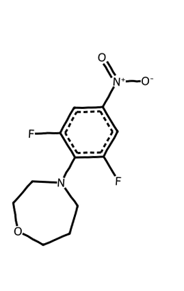 O=[N+]([O-])c1cc(F)c(N2CCCOCC2)c(F)c1